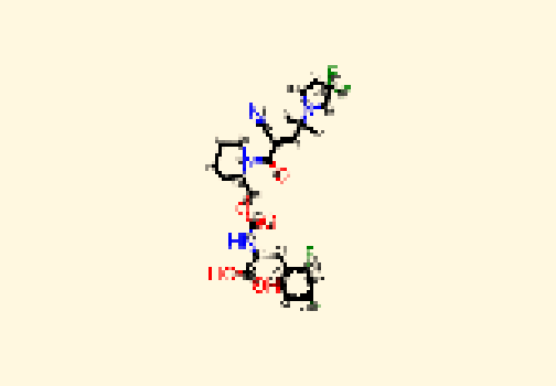 CC(C)(C=C(C#N)C(=O)N1CCCCC1COC(=O)N[C@@H](Cc1ccc(F)cc1F)B(O)O)N1CCC(F)(F)C1